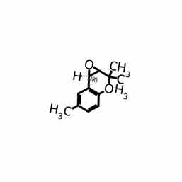 Cc1ccc2c(c1)[C@H]1OC1C(C)(C)O2